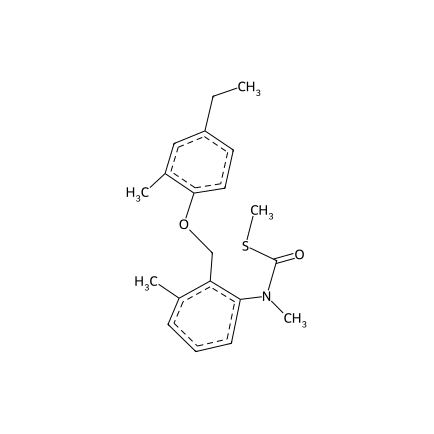 CCc1ccc(OCc2c(C)cccc2N(C)C(=O)SC)c(C)c1